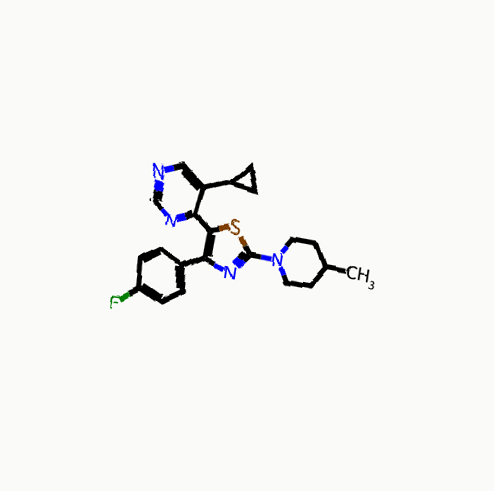 CC1CCN(c2nc(-c3ccc(F)cc3)c(-c3n[c]ncc3C3CC3)s2)CC1